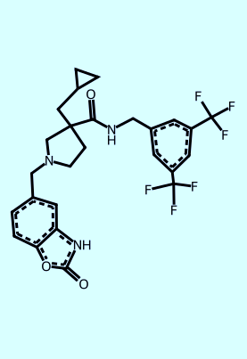 O=C(NCc1cc(C(F)(F)F)cc(C(F)(F)F)c1)C1(CC2CC2)CCN(Cc2ccc3oc(=O)[nH]c3c2)C1